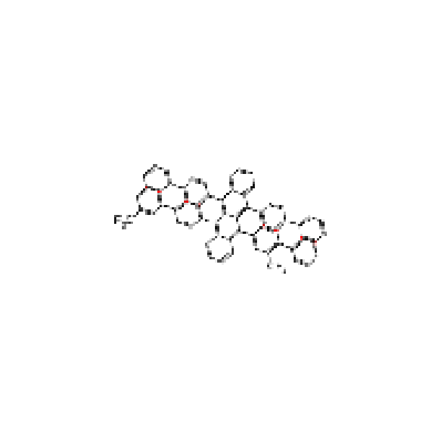 FC(F)(F)c1cccc(-c2ccc(-c3c4ccccc4c(-c4ccc(-c5ccccc5)c(C(F)(F)F)c4)c4c(-c5ccc(-c6ccccc6)cc5)c5ccccc5c(-c5ccc(-c6ccccc6)cc5)c34)cc2)c1